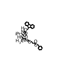 CC(C)[C@H](NC(=O)OCC1c2ccccc2-c2ccccc21)C(=O)N[C@@H](C)C(=O)NCOCCC(=O)OCc1ccccc1